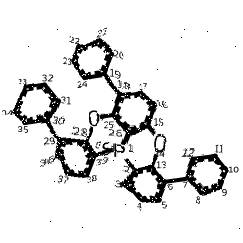 S=P12c3cccc(-c4ccccc4)c3Oc3ccc(-c4ccccc4)c(c31)Oc1c(-c3ccccc3)cccc12